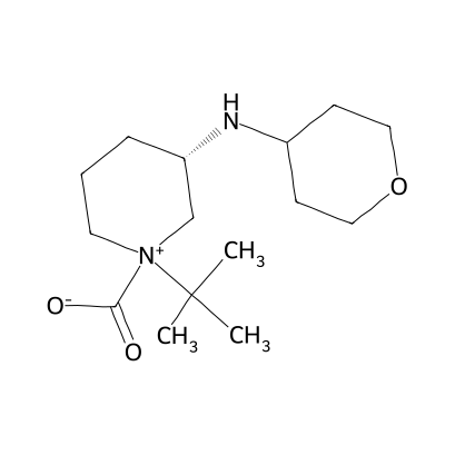 CC(C)(C)[N+]1(C(=O)[O-])CCC[C@H](NC2CCOCC2)C1